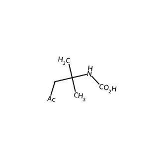 CC(=O)CC(C)(C)NC(=O)O